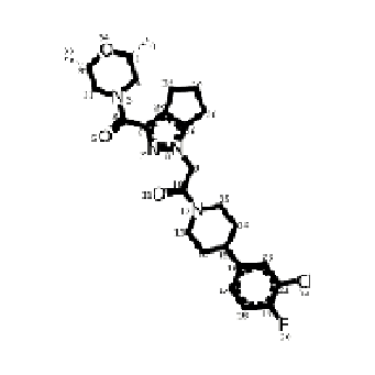 C[C@@H]1CN(C(=O)c2nn(CC(=O)N3CCC(c4ccc(F)c(Cl)c4)CC3)c3c2CCC3)C[C@H](C)O1